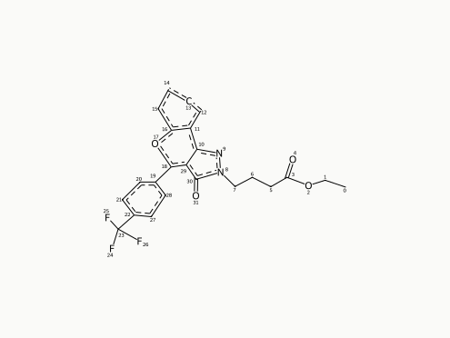 CCOC(=O)CCCn1nc2c3ccccc3oc(-c3ccc(C(F)(F)F)cc3)c-2c1=O